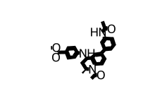 COC(=O)c1ccc(N[C@@H]2C[C@H](C)N(C(C)=O)c3ccc(-c4cccc(NC(C)=O)c4)cc32)cc1